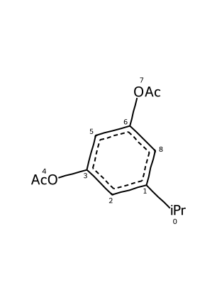 [CH2]C(C)c1cc(OC(C)=O)cc(OC(C)=O)c1